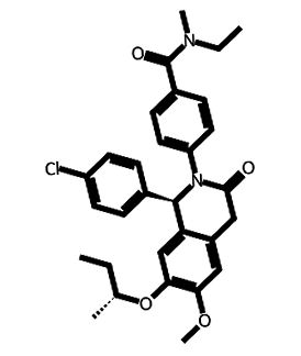 CC[C@@H](C)Oc1cc2c(cc1OC)CC(=O)N(c1ccc(C(=O)N(C)CC)cc1)[C@@H]2c1ccc(Cl)cc1